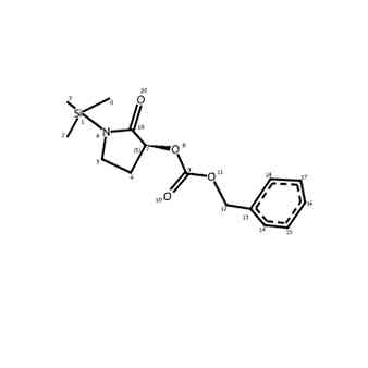 C[Si](C)(C)N1CC[C@H](OC(=O)OCc2ccccc2)C1=O